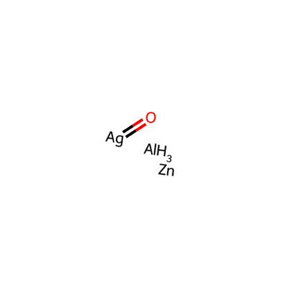 [AlH3].[O]=[Ag].[Zn]